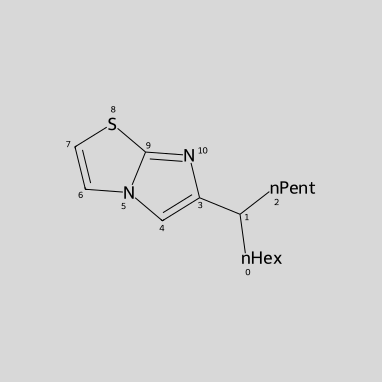 CCCCCCC(CCCCC)c1cn2ccsc2n1